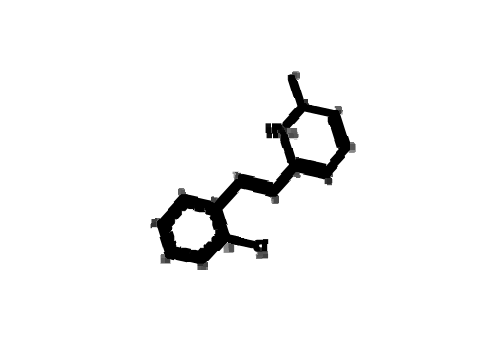 CC1C=C[C]=C(C=Cc2ccccc2Cl)N1